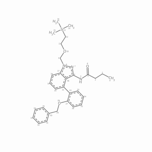 CCCC(=O)Nc1nn(COCC[Si](C)(C)C)c2cccc(-c3ccccc3OCc3ccccc3)c12